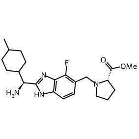 COC(=O)[C@@H]1CCCN1Cc1ccc2[nH]c([C@@H](N)C3CCC(C)CC3)nc2c1F